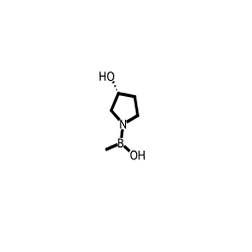 CB(O)N1CC[C@@H](O)C1